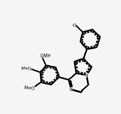 COc1cc(C2=NCCn3cc(-c4cccc(Cl)c4)cc32)cc(OC)c1OC